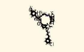 CCN1C[C@@H]2CC[C@H]2[C@@H](OC)/C=C/C[C@H](C)CS(=O)(NC(=O)c2ccc(OC)cc2)=NC(=O)c2ccc(OCCCCc3cccc(Cl)c3)c1c2